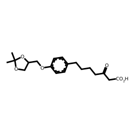 CC1(C)OCC(COc2ccc(CCCCC(=O)CC(=O)O)cc2)O1